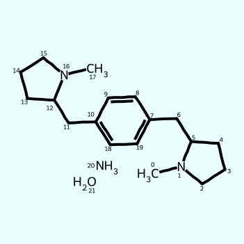 CN1CCCC1Cc1ccc(CC2CCCN2C)cc1.N.O